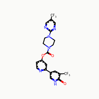 O=C(Oc1ccnc(-c2c[nH]c(=O)c(C(F)(F)F)c2)c1)N1CCN(c2ncc(C(F)(F)F)cn2)CC1